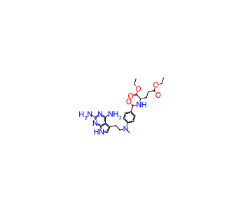 CCOC(=O)CC[C@@H](NC(=O)c1ccc(N(C)CCc2c[nH]c3nc(N)nc(N)c23)cc1)C(=O)OCC